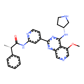 COc1cncc2nc(-c3ccnc(NC(=O)[C@@H](C)c4ccccc4)c3)nc(N[C@@H]3CCNC3)c12